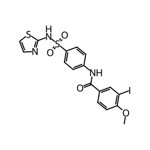 COc1ccc(C(=O)Nc2ccc(S(=O)(=O)Nc3nccs3)cc2)cc1I